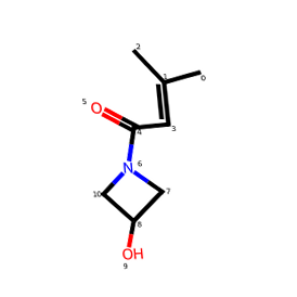 CC(C)=CC(=O)N1CC(O)C1